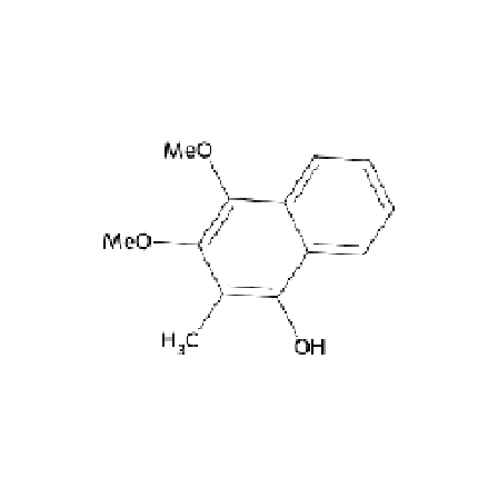 COc1c(C)c(O)c2ccccc2c1OC